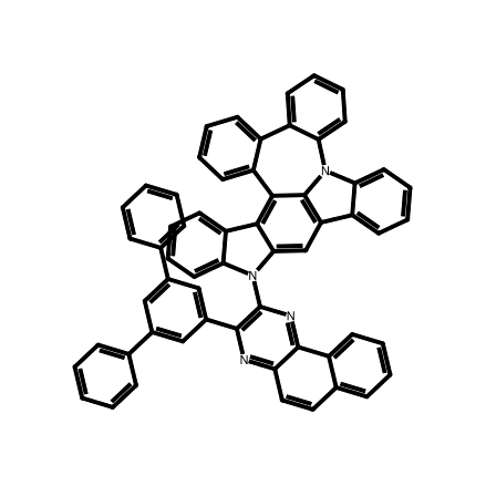 c1ccc(-c2cc(-c3ccccc3)cc(-c3nc4ccc5ccccc5c4nc3-n3c4ccccc4c4c5c6c(cc43)c3ccccc3n6-c3ccccc3-c3ccccc3-5)c2)cc1